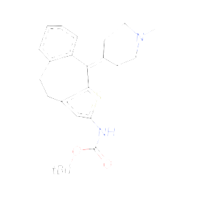 CN1CCC(=C2c3ccccc3CCc3cc(NC(=O)OC(C)(C)C)sc32)CC1